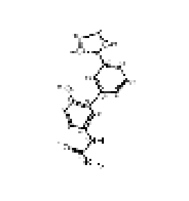 NC(=O)Nc1ccc(C(F)(F)F)c(-c2cccc(C3OCCO3)c2)c1